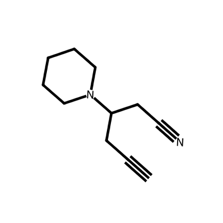 C#CCC(CC#N)N1CCCCC1